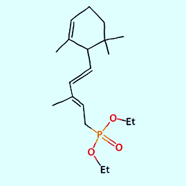 CCOP(=O)(CC=C(C)C=CC1C(C)=CCCC1(C)C)OCC